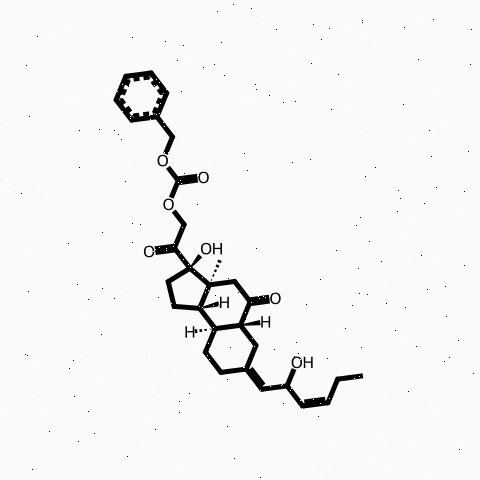 CC/C=C\C(O)/C=C1/CC[C@@H]2[C@@H](C1)C(=O)C[C@@]1(C)[C@H]2CC[C@]1(O)C(=O)COC(=O)OCc1ccccc1